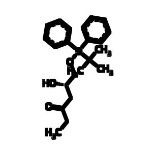 CCC(=O)C[C@H](O)CO[Si](c1ccccc1)(c1ccccc1)C(C)(C)C